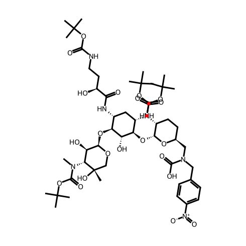 CN(C(=O)OC(C)(C)C)[C@@H]1[C@@H](O)[C@@H](O[C@@H]2[C@@H](O)[C@H](O[C@H]3O[C@H](CN(Cc4ccc([N+](=O)[O-])cc4)C(=O)O)CC[C@H]3NC(=O)OC(C)(C)C)[C@@H](NC(=O)OC(C)(C)C)C[C@H]2NC(=O)[C@@H](O)CCNC(=O)OC(C)(C)C)OC[C@]1(C)O